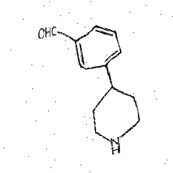 O=Cc1cccc(C2CCNCC2)c1